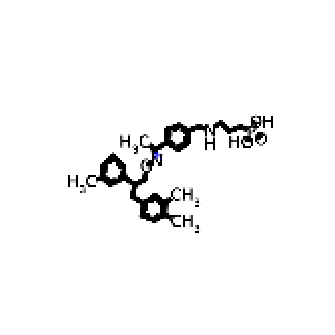 C/C(=N\OCC(Cc1ccc(C)c(C)c1)c1cccc(C)c1)c1ccc(CNCCCP(=O)(O)O)cc1